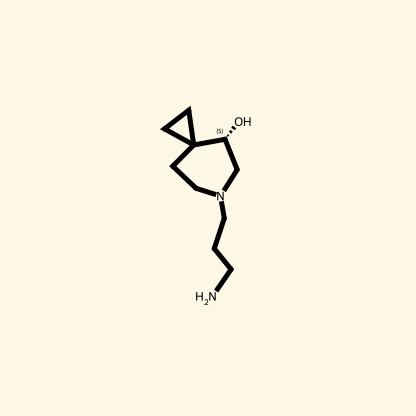 NCCCN1CCC2(CC2)[C@H](O)C1